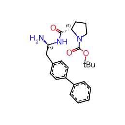 CC(C)(C)OC(=O)N1CCC[C@H]1C(=O)N[C@H](N)Cc1ccc(-c2ccccc2)cc1